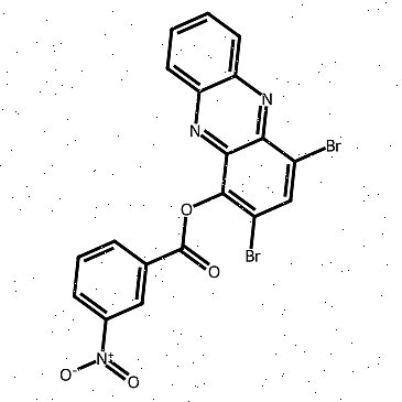 O=C(Oc1c(Br)cc(Br)c2nc3ccccc3nc12)c1cccc([N+](=O)[O-])c1